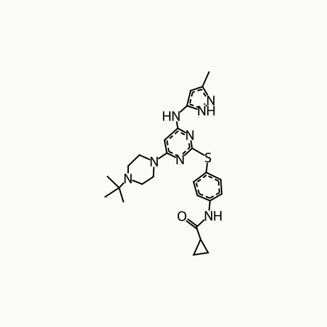 Cc1cc(Nc2cc(N3CCN(C(C)(C)C)CC3)nc(Sc3ccc(NC(=O)C4CC4)cc3)n2)[nH]n1